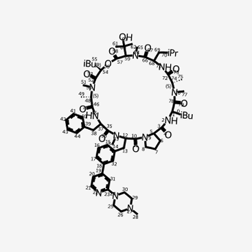 CCC(C)C1NC(=O)C2CCCN2C(=O)C(Cc2cccc(-c3ccnc(N4CCN(C)CC4)c3)c2)N(C)C(=O)C(Cc2ccccc2)NC(=O)[C@H](C)N(C)C(=O)C([C@H](C)CC)OC(=O)C(C(C)(C)O)N(C)C(=O)C(CC(C)C)NC(=O)[C@H](C)N(C)C1=O